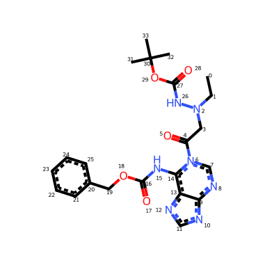 CCN(CC(=O)n1cnc2ncnc-2c1NC(=O)OCc1ccccc1)NC(=O)OC(C)(C)C